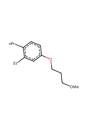 CCCc1ccc(OCCCOC)cc1CC